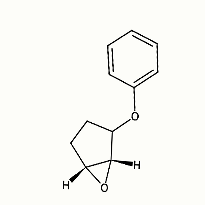 c1ccc(OC2CC[C@H]3O[C@@H]23)cc1